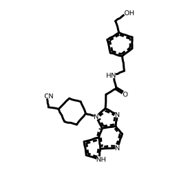 N#CCC1CCC(n2c(CC(=O)NCc3ccc(CO)cc3)nc3cnc4[nH]ccc4c32)CC1